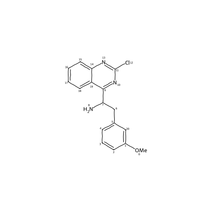 COc1cccc(CC(N)c2nc(Cl)nc3ccccc23)c1